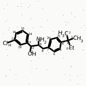 CCC(C)(C)c1ccc(CC(N)C(O)c2cccc(Cl)c2)cc1